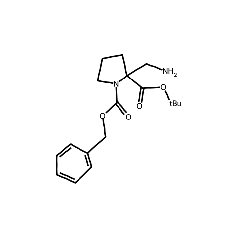 CC(C)(C)OC(=O)C1(CN)CCCN1C(=O)OCc1ccccc1